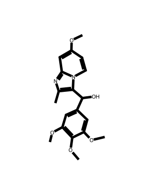 COc1ccn2c(C(O)c3cc(OC)c(OC)c(OC)c3)c(C)nc2c1